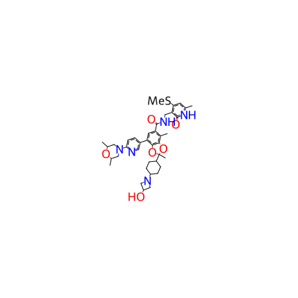 CSc1cc(C)[nH]c(=O)c1CNC(=O)c1cc(-c2ccc(N3CC(C)OC(C)C3)nc2)c2c(c1C)OC(C)(C1CCC(N3CC(O)C3)CC1)O2